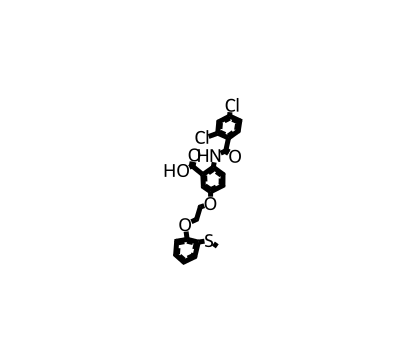 CSc1ccccc1OCCOc1ccc(NC(=O)c2ccc(Cl)cc2Cl)c(C(=O)O)c1